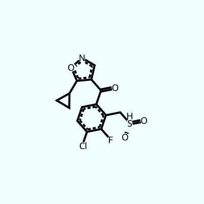 O=C(c1cnoc1C1CC1)c1ccc(Cl)c(F)c1C[SH](=O)=O